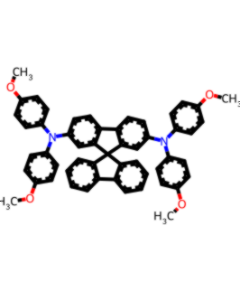 COc1ccc(N(c2ccc(OC)cc2)c2ccc3c(c2)C2(c4ccccc4-c4ccccc42)c2cc(N(c4ccc(OC)cc4)c4ccc(OC)cc4)ccc2-3)cc1